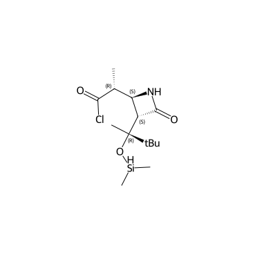 C[C@@H](C(=O)Cl)[C@H]1NC(=O)[C@@H]1[C@@](C)(O[SiH](C)C)C(C)(C)C